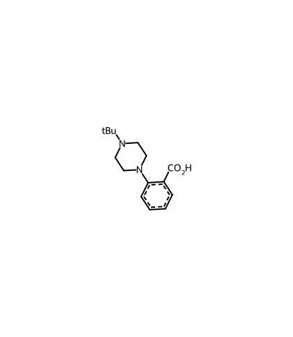 CC(C)(C)N1CCN(c2ccccc2C(=O)O)CC1